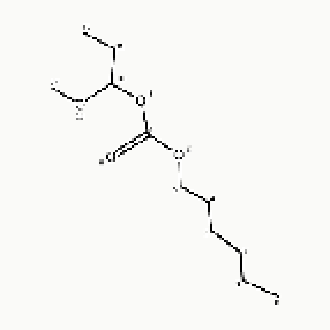 CCCCCCOC(=O)OC(CC)OC